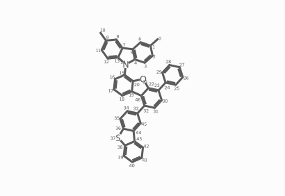 Cc1ccc2c(c1)c1cc(C)ccc1n2-c1cccc2c1oc1c(-c3ccccc3)ccc(-c3ccc4sc5ccccc5c4c3)c12